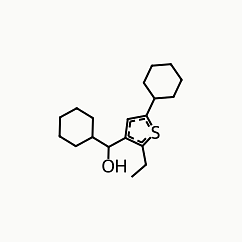 CCc1sc(C2CCCCC2)cc1C(O)C1CCCCC1